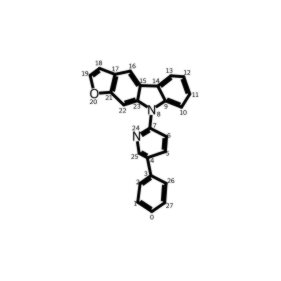 c1ccc(-c2ccc(-n3c4ccccc4c4cc5ccoc5cc43)nc2)cc1